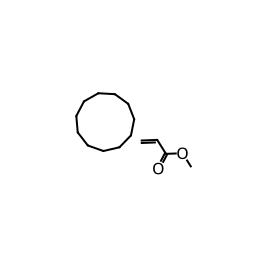 C1CCCCCCCCCC1.C=CC(=O)OC